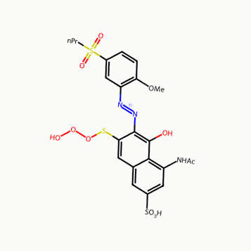 CCCS(=O)(=O)c1ccc(OC)c(/N=N/c2c(SOOO)cc3cc(S(=O)(=O)O)cc(NC(C)=O)c3c2O)c1